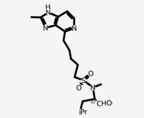 Cc1nc2c(CCCCCS(=O)(=O)N(C)[C@H]([C]=O)CC(C)C)nccc2[nH]1